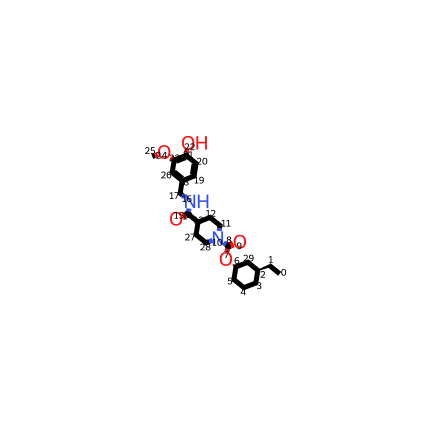 CC[C@H]1CCC[C@H](OC(=O)N2CCC(C(=O)NCc3ccc(O)c(OC)c3)CC2)C1